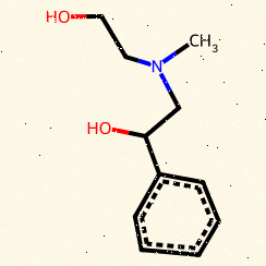 CN(CCO)CC(O)c1ccccc1